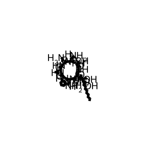 CCCCCCC[C@@H](O)CC(=O)N[C@H](CO)C(=O)N[C@H]1CCNC(=O)[C@H]([C@@H](C)O)NC(=O)[C@H](CCN)NC(=O)[C@H](CCN)NC(=O)[C@H](CC(C)C)NC(=O)[C@@H](Cc2ccccc2)NC(=O)[C@H](CCN)NC1=O